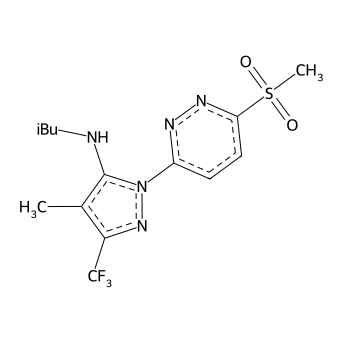 CCC(C)Nc1c(C)c(C(F)(F)F)nn1-c1ccc(S(C)(=O)=O)nn1